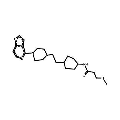 COCCC(=O)NC1CCC(CCN2CCN(c3nccc4occc34)CC2)CC1